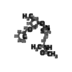 CC(=O)NC(C)C#Cc1cnc(Oc2cc(C)cc(OCC3CCCCC3)c2)s1